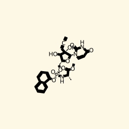 C=C=C[C@]1(O)C(O)[C@@H](COP(=O)(N[C@@H](C)C(=O)OC)Oc2cccc3ccccc23)O[C@H]1n1ccc(=O)[nH]c1=O